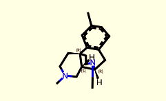 Cc1ccc2c(c1)[C@@]13CCN(C)C[C@H]1[C@@H](C2)N(C)CC3